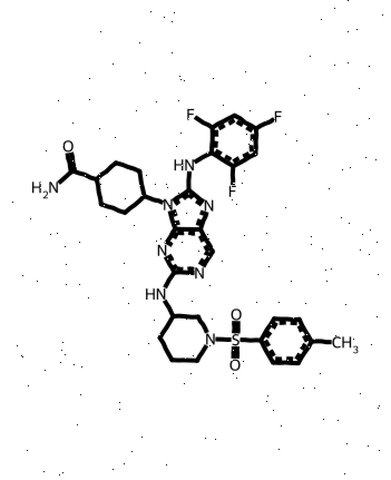 Cc1ccc(S(=O)(=O)N2CCCC(Nc3ncc4nc(Nc5c(F)cc(F)cc5F)n(C5CCC(C(N)=O)CC5)c4n3)C2)cc1